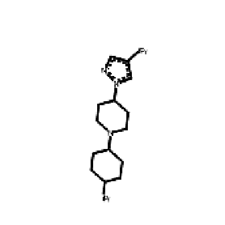 CC(C)c1cnn(C2CCN(C3CCC(C(C)C)CC3)CC2)c1